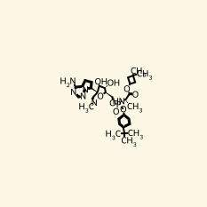 C/N=C/[C@@]1(c2ccc3c(N)ncnn23)O[C@H](COP(=O)(N[C@@H](C)C(=O)OC2CC(C)(C)C2)Oc2ccc(C(C)(C)C)cc2)[C@@H](O)[C@H]1O